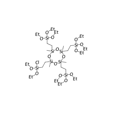 CCO[Si](Cl)(CC[Si]1(C)O[Si](C)(CC[Si](OCC)(OCC)OCC)O[Si](C)(CC[Si](OCC)(OCC)OCC)O[Si](C)(CC[Si](OCC)(OCC)OCC)O1)OCC